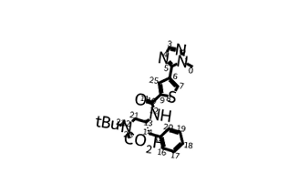 Cn1ncnc1-c1csc(C(=O)N[C@H](Cc2ccccc2)CN(C(=O)O)C(C)(C)C)c1